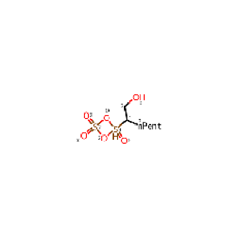 CCCCCC(CO)[SH]1(=O)OS(=O)(=O)O1